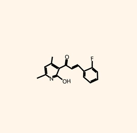 Cc1cc(C)c(C(=O)/C=C/c2ccccc2F)c(O)n1